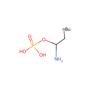 CCCCCC(N)OP(=O)(O)O